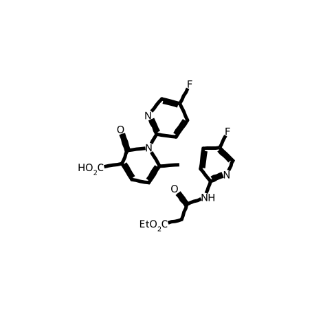 CCOC(=O)CC(=O)Nc1ccc(F)cn1.Cc1ccc(C(=O)O)c(=O)n1-c1ccc(F)cn1